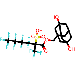 O=C(OCC12CC3CC(O)(CC(O)(C3)C1)C2)C(C(F)(F)F)(C(F)(F)C(F)(F)C(F)(F)C(F)(F)F)S(=O)(=O)O